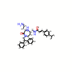 CC(C)c1ccc(/C=C/C(=O)NC[C@@H]2CCN(CC(c3ccccc3)c3ccccc3)C(=O)[C@H](CCN)N2)cc1